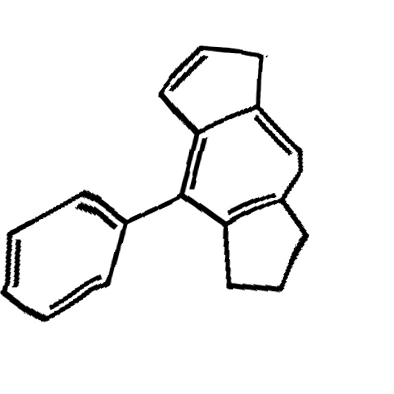 [CH]1C=Cc2c1cc1c(c2-c2ccccc2)CCC1